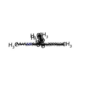 CCCCCCCCC/C=C/C=C/C=CC=CC(=O)O[C@H](COC(=O)CCCCCCCCCCCCCCCCC)COP(=O)([O-])OCC[N+](C)(C)C